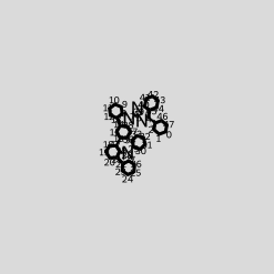 c1ccc(-c2nc(-n3c4ccccc4c4cc(-c5cccc6c7ccccc7n(-c7ccccc7)c56)ccc43)nc3ccccc23)cc1